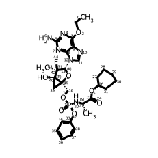 CCOc1nc(N)nc2c1ncn2[C@@H]1O[C@@]2(COP(=O)(N[C@@H](C)C(=O)OC3CCCCC3)Oc3ccccc3)C[C@]2(O)[C@@]1(C)F